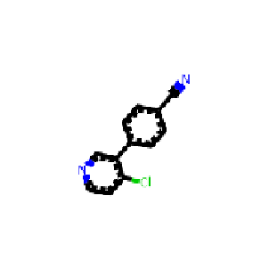 N#Cc1ccc(-c2cnccc2Cl)cc1